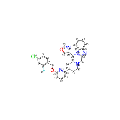 Fc1cc(Cl)ccc1COc1cccc(C2CCN(Cc3nc4ccccc4n3Cc3cocn3)CC2)n1